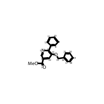 COC(=O)c1cnc(-c2ccccc2)c(OCc2ccccc2)c1